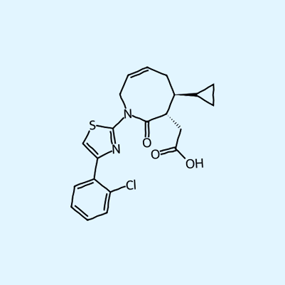 O=C(O)C[C@@H]1C(=O)N(c2nc(-c3ccccc3Cl)cs2)CC=CC[C@H]1C1CC1